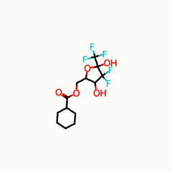 O=C(OCC1OC(O)(C(F)(F)F)C(F)(F)C1O)C1CCCCC1